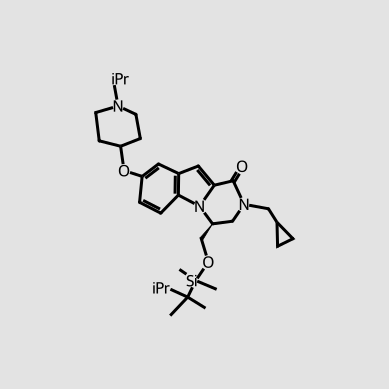 CC(C)N1CCC(Oc2ccc3c(c2)cc2n3[C@H](CO[Si](C)(C)C(C)(C)C(C)C)CN(CC3CC3)C2=O)CC1